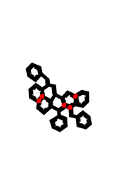 C(=C(C=C(c1ccccc1)c1ccccc1C(=CC(=Cc1ccccc1)c1ccccc1)c1ccccc1)c1ccccc1)c1ccccc1